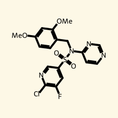 COc1ccc(CN(c2ccncn2)S(=O)(=O)c2cnc(Cl)c(F)c2)c(OC)c1